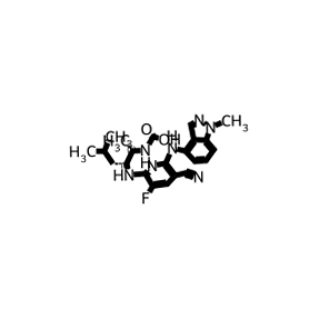 CC(C)C[C@@H](Nc1nc(Nc2cccc3c2cnn3C)c(C#N)cc1F)[C@H](C)NC(=O)O